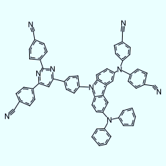 N#Cc1ccc(-c2cc(-c3ccc(-n4c5ccc(N(c6ccccc6)c6ccccc6)cc5c5cc(N(c6ccc(C#N)cc6)c6ccc(C#N)cc6)ccc54)cc3)nc(-c3ccc(C#N)cc3)n2)cc1